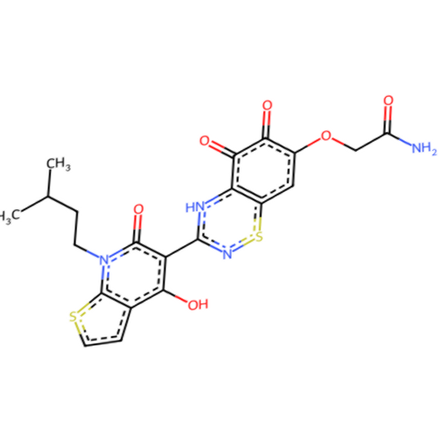 CC(C)CCn1c(=O)c(-c2nsc3cc(OCC(N)=O)c(=O)c(=O)c=3[nH]2)c(O)c2ccsc21